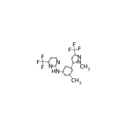 Cc1cc(Nc2nccc(C(F)(F)F)n2)cc(-c2cc(C(F)(F)F)nn2C)c1